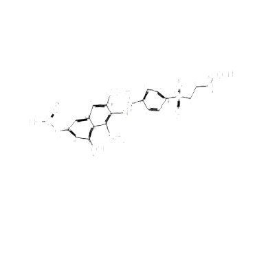 Nc1c(/N=N/c2ccc(S(=O)(=O)CCOS(=O)(=O)O)cc2)c(S(=O)(=O)O)cc2cc(OS(=O)O)cc(O)c12